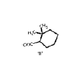 CC1(C)CCCCC1C(=O)[O-].[Tl+]